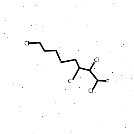 FC(Cl)C(Cl)C(Cl)CCCCCCl